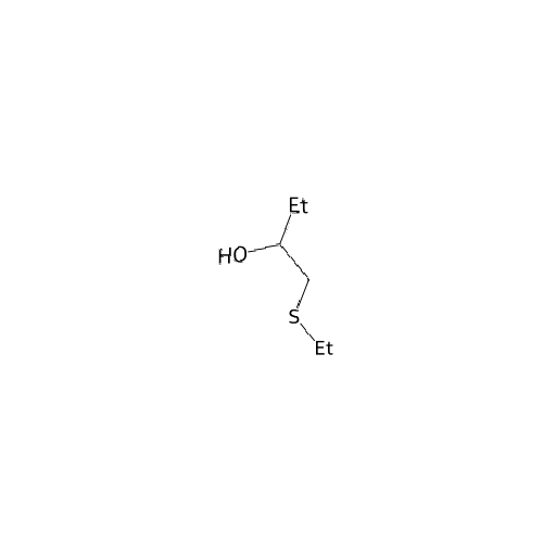 CCSCC(O)CC